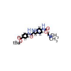 CN(C)CCOC(=O)Nc1ccc(CC(N)C(=O)Nc2ccc(C(=O)OC(C)(C)C)cc2)cc1